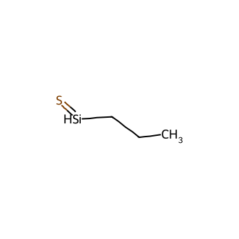 CCC[SiH]=S